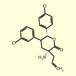 C=CC[C@@]1(N)CC(c2cccc(Cl)c2)[C@H](c2ccc(Cl)cc2)OC1=O